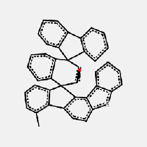 Cc1cccc2c1-c1ccc3sc4ccccc4c3c1C21c2ccccc2C2(c3ccccc3-c3ccccc32)c2ccccc21